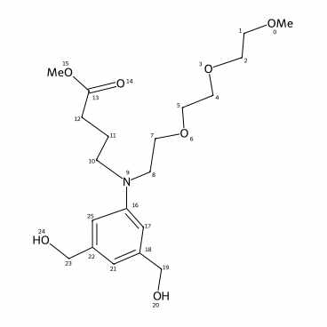 COCCOCCOCCN(CCCC(=O)OC)c1cc(CO)cc(CO)c1